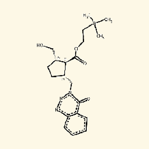 C[Si](C)(C)CCOC(=O)[C@@H]1[C@@H](CO)CC[C@H]1Cn1nnc2ccccc2c1=O